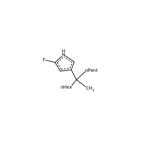 CCCCCCC(C)(CCCCC)c1c[nH]c(F)c1